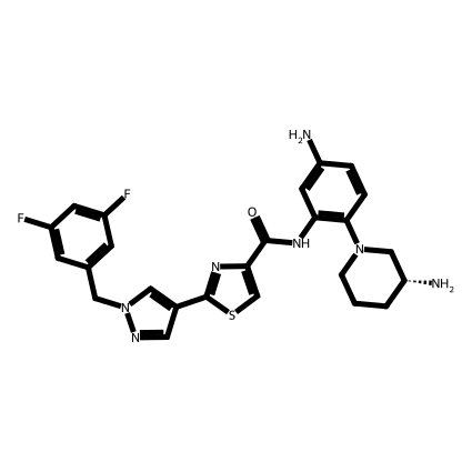 Nc1ccc(N2CCC[C@@H](N)C2)c(NC(=O)c2csc(-c3cnn(Cc4cc(F)cc(F)c4)c3)n2)c1